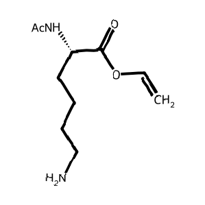 C=COC(=O)[C@H](CCCCN)NC(C)=O